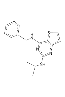 CC(C)Nc1nc(NCc2ccccc2)c2sccc2n1